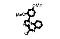 COc1ccc(-c2cnc3c(Cl)nc4ccccc4n23)c(OC)c1